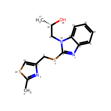 Cc1nc(CSc2nc3ccccc3n2C[C@H](C)O)cs1